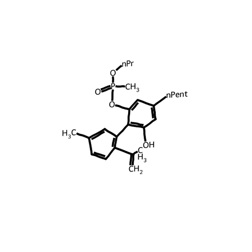 C=C(C)c1ccc(C)cc1-c1c(O)cc(CCCCC)cc1OP(C)(=O)OCCC